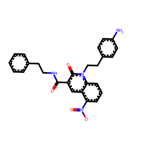 Nc1ccc(CCn2c(=O)c(C(=O)NCCc3ccccc3)cc3c([N+](=O)[O-])cccc32)cc1